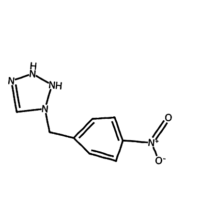 O=[N+]([O-])c1ccc(CN2C=NNN2)cc1